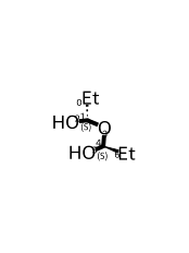 CC[C@@H](O)O[C@H](O)CC